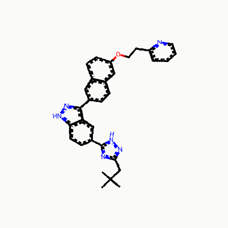 CC(C)(C)Cc1n[nH]c(-c2ccc3[nH]nc(-c4ccc5cc(OCCc6ccccn6)ccc5c4)c3c2)n1